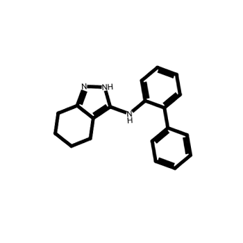 c1ccc(-c2ccccc2Nc2[nH]nc3c2CCCC3)cc1